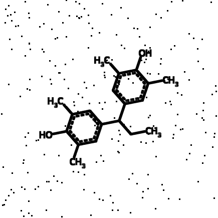 CCC(c1cc(C)c(O)c(C)c1)c1cc(C)c(O)c(C)c1